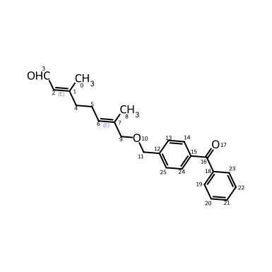 C/C(=C\C=O)CC/C=C(\C)COCc1ccc(C(=O)c2ccccc2)cc1